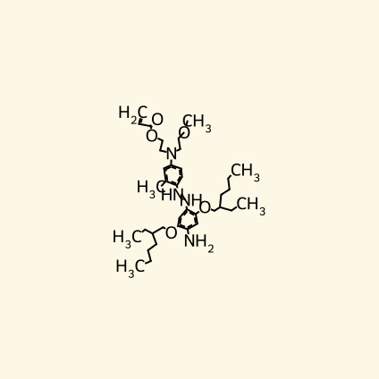 C=CC(=O)OCCN(CCOC)c1ccc(NNc2cc(OCC(CC)CCCC)c(N)cc2OCC(CC)CCCC)c(C)c1